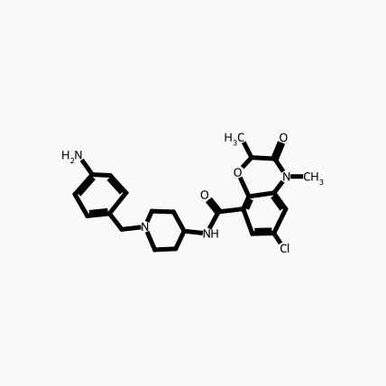 CC1Oc2c(C(=O)NC3CCN(Cc4ccc(N)cc4)CC3)cc(Cl)cc2N(C)C1=O